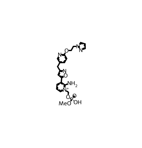 COP(=O)(O)OC[n+]1cccc(-c2cc(Cc3ccc(OCCn4cccn4)nc3)no2)c1N